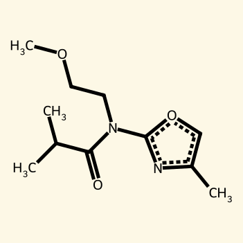 COCCN(C(=O)C(C)C)c1nc(C)co1